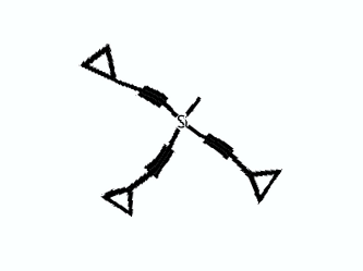 C[Si](C#CC1CC1)(C#CC1CC1)C#CC1CC1